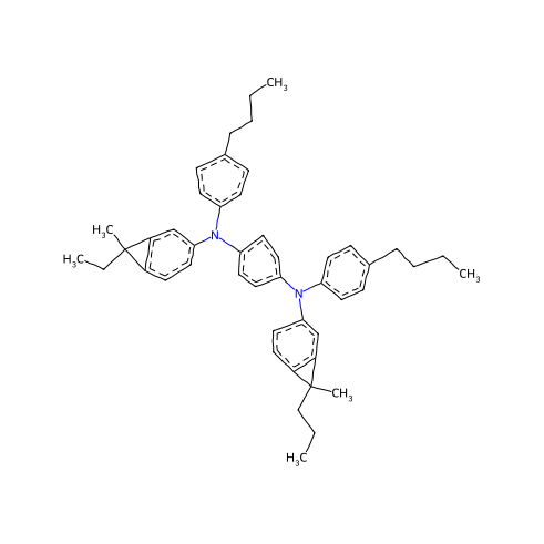 CCCCc1ccc(N(c2ccc(N(c3ccc(CCCC)cc3)c3ccc4c(c3)C4(C)CCC)cc2)c2ccc3c(c2)C3(C)CC)cc1